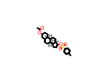 CC(=O)O[C@H]1CC[C@@]2(C)C(=CC[C@@H]3[C@@H]2CC[C@]2(C)C(OS(=O)(=O)c4ccc(C)cc4)=CC[C@@H]32)C1